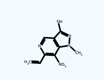 C=Cc1ncc2c(O)nn(C)c2c1[N+](=O)[O-]